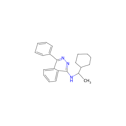 CC(Nc1nnc(-c2ccccc2)c2ccccc12)C1CCCCC1